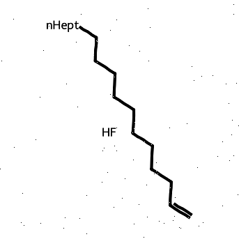 C=CCCCCCCCCCCCCCCCC.F